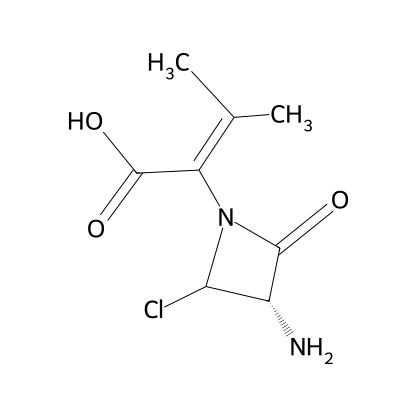 CC(C)=C(C(=O)O)N1C(=O)[C@H](N)C1Cl